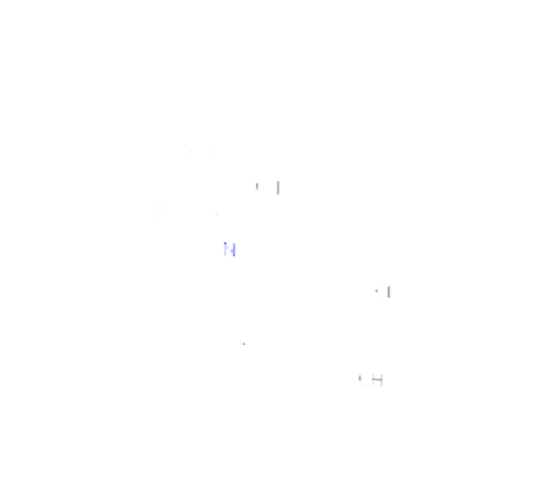 CC(C)C1CCCN(C(C)(C)C)C1